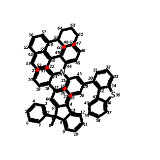 CC1(c2ccccc2)c2ccccc2-c2ccc(-c3ccccc3N(c3cccc(-c4cccc5sc6ccccc6c45)c3)c3ccccc3-c3cccc4cccc(C5CCCCC5)c34)cc21